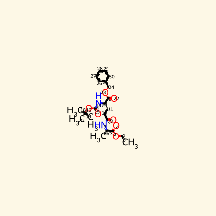 CCOC(=O)[C@H](C)NC(=O)CC[C@H](NC(=O)OC(C)(C)C)C(=O)OCc1ccccc1